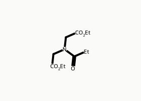 CCOC(=O)CN(CC(=O)OCC)C(=O)CC